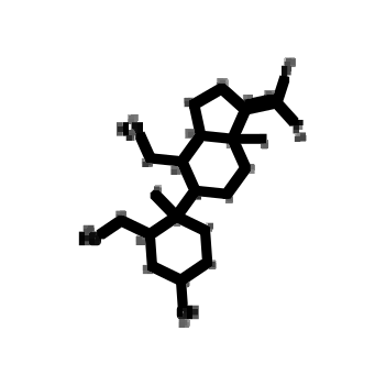 CC12CCC(C3(C)CCC(O)CC3CO)C(CN)C1CCC2=C(F)F